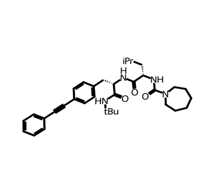 CC(C)C[C@H](NC(=O)N1CCCCCC1)C(=O)N[C@@H](Cc1ccc(C#Cc2ccccc2)cc1)C(=O)NC(C)(C)C